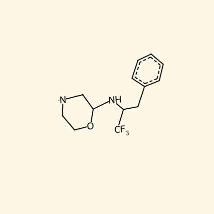 FC(F)(F)C(Cc1ccccc1)NC1C[N]CCO1